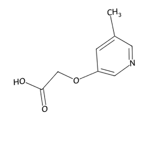 Cc1cncc(OCC(=O)O)c1